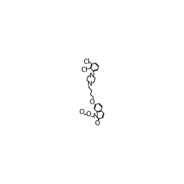 O=COCn1c(=O)ccc2ccc(OCCCCN3CCN(c4cccc(Cl)c4Cl)CC3)cc21